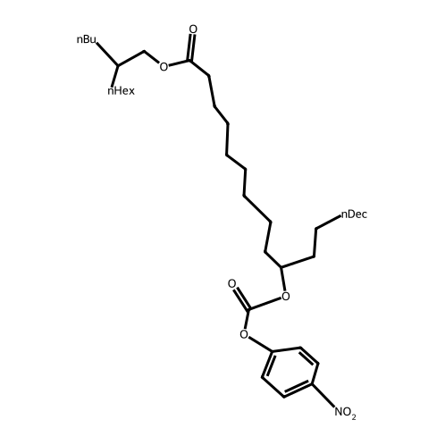 CCCCCCCCCCCCC(CCCCCCCCC(=O)OCC(CCCC)CCCCCC)OC(=O)Oc1ccc([N+](=O)[O-])cc1